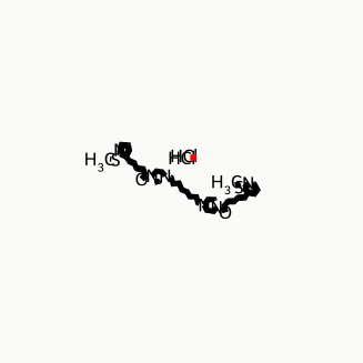 CSc1ncccc1/C=C/C=C/C(=O)N1CCN(CCCCCCCCN2CCN(C(=O)/C=C/C=C/c3cccnc3SC)CC2)CC1.Cl.Cl